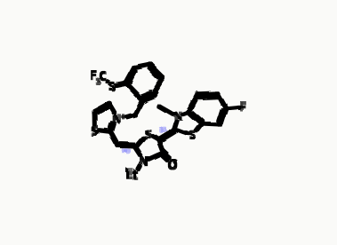 CCn1c(=O)/c(=C2\Sc3cc(F)ccc3N2C)s/c1=C\c1scc[n+]1Cc1ccccc1SC(F)(F)F